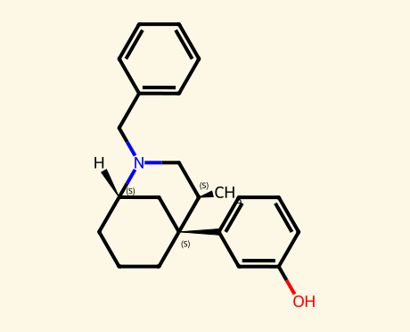 C[C@@H]1CN(Cc2ccccc2)[C@H]2CCC[C@]1(c1cccc(O)c1)C2